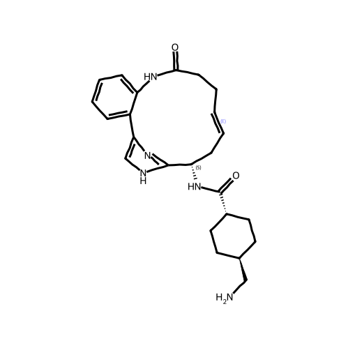 NC[C@H]1CC[C@H](C(=O)N[C@H]2C/C=C/CCC(=O)Nc3ccccc3-c3c[nH]c2n3)CC1